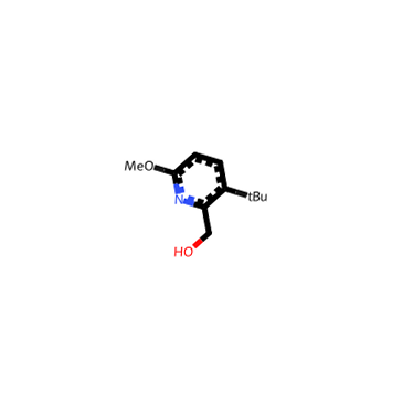 COc1ccc(C(C)(C)C)c(CO)n1